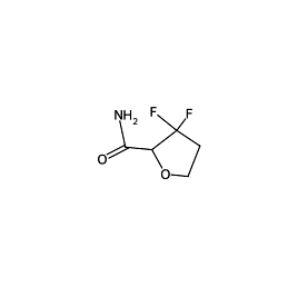 NC(=O)C1OCCC1(F)F